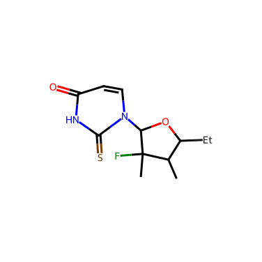 CCC1OC(n2ccc(=O)[nH]c2=S)C(C)(F)C1C